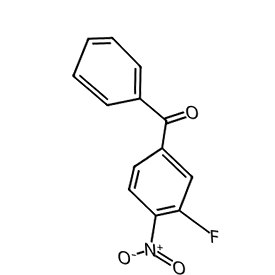 O=C(c1ccccc1)c1ccc([N+](=O)[O-])c(F)c1